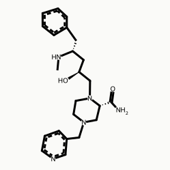 CN[C@H](Cc1ccccc1)C[C@H](O)CN1CCN(Cc2cccnc2)C[C@H]1C(N)=O